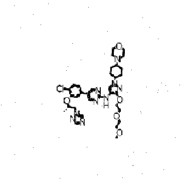 COCCOCCOc1nn([C@H]2CC[C@H](N3CCOCC3)CC2)cc1Nc1ncc(-c2ccc(Cl)c(O[C@@H](C)Cn3cncn3)c2)cn1